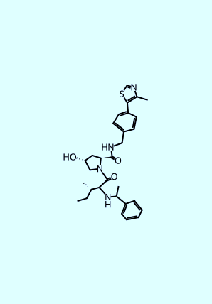 CC[C@H](C)C(NC(C)c1ccccc1)C(=O)N1C[C@H](O)C[C@H]1C(=O)NCc1ccc(-c2scnc2C)cc1